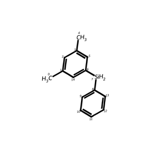 Cc1cc(C)cc([SiH2]c2cc[c]cc2)c1